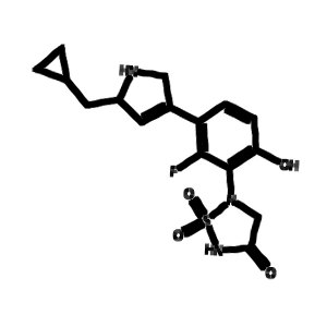 O=C1CN(c2c(O)ccc(C3=CC(CC4CC4)NC3)c2F)S(=O)(=O)N1